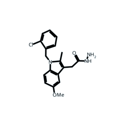 COc1ccc2c(c1)c(CC(=O)NN)c(C)n2Cc1ccccc1Cl